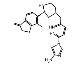 C=C1CCc2c1ccc([C@@H]1CN(CC(=N)/C=C\C(=N)n3cnc(N)c3)CCN1)c2C